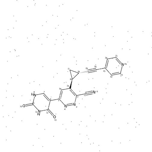 N#Cc1nnc(-c2c[nH]c(=O)[nH]c2=O)cc1[C@H]1C[C@@H]1C#Cc1ccncc1